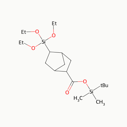 CCO[Si](OCC)(OCC)C1CC2CC1CC2C(=O)O[Si](C)(C)C(C)(C)C